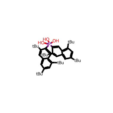 CC(C)(C)c1cc(C(C)(C)C)c2cc(P(O)(O)(O)c3cc4c(C(C)(C)C)cc(C(C)(C)C)cc4cc3C(C)(C)C)c(C(C)(C)C)cc2c1